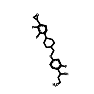 CCCC(O)c1ccc(OCC2CCC(c3ccc(C4CO4)c(F)c3F)CC2)cc1F